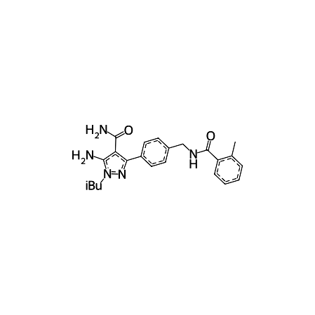 CCC(C)n1nc(-c2ccc(CNC(=O)c3ccccc3C)cc2)c(C(N)=O)c1N